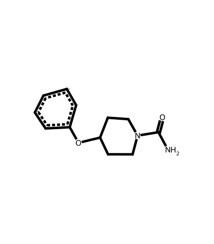 NC(=O)N1CCC(Oc2c[c]ccc2)CC1